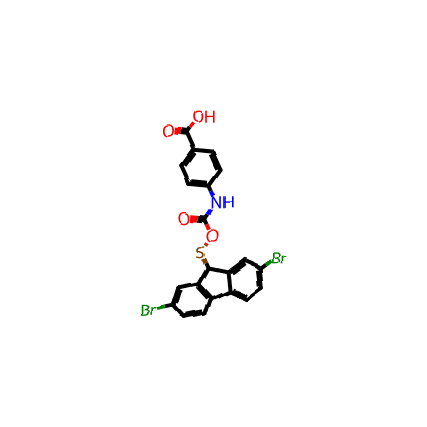 O=C(Nc1ccc(C(=O)O)cc1)OSC1c2cc(Br)ccc2-c2ccc(Br)cc21